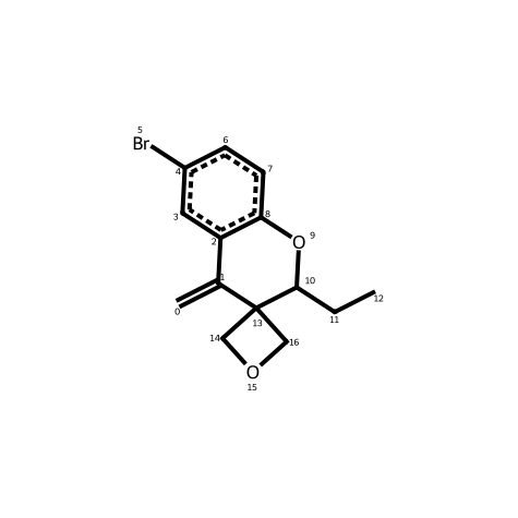 C=C1c2cc(Br)ccc2OC(CC)C12COC2